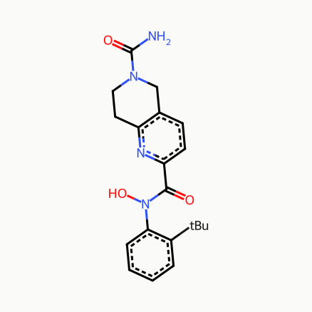 CC(C)(C)c1ccccc1N(O)C(=O)c1ccc2c(n1)CCN(C(N)=O)C2